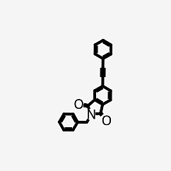 O=C1c2ccc(C#Cc3ccccc3)cc2C(=O)N1Cc1ccccc1